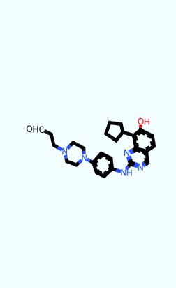 O=CCCN1CCN(c2ccc(Nc3ncc4ccc(O)c(C5CCCC5)c4n3)cc2)CC1